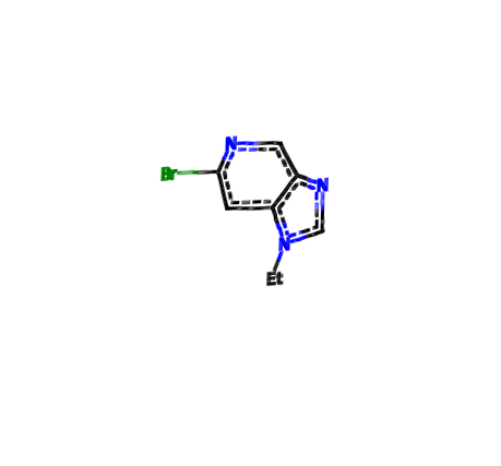 CCn1cnc2cnc(Br)cc21